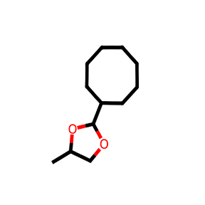 CC1COC(C2CCCCCCC2)O1